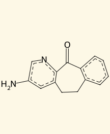 Nc1cnc2c(c1)CCc1ccccc1C2=O